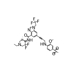 CCN1C[C@H](C)[C@@H](NC(=O)c2cc(C#CCNc3ccc(S(C)(=O)=O)cc3OC)cc3c2ncn3CC(F)(F)F)C(F)(F)C1